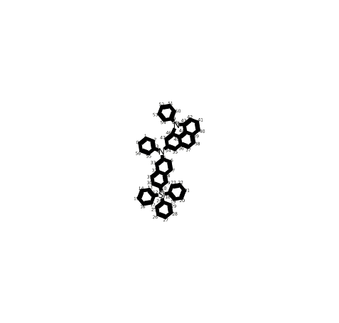 c1ccc(N(c2ccc3cc([Si](c4ccccc4)(c4ccccc4)c4ccccc4)ccc3c2)c2cc3ccc4cccc5c4c3c(c2)n5-c2ccccc2)cc1